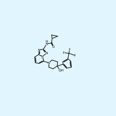 O=C(Nc1nc2cccc(N3CCC(O)(c4cccc(C(F)(F)F)c4)CC3)n2n1)C1CC1